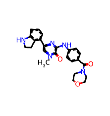 Cn1cc(-c2cccc3c2CCN3)nc(Nc2ccc(C(=O)N3CCOCC3)cc2)c1=O